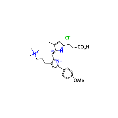 COc1ccc(-c2cc(CCC[N+](C)(C)C)c(/C=C3\N=C(CCC(=O)O)C=C3C)[nH]2)cc1.[Cl-]